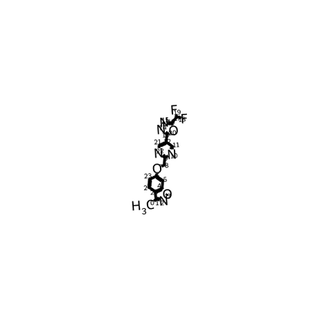 Cc1noc2cc(OCc3ncc(-c4nnc(C(F)F)o4)cn3)ccc12